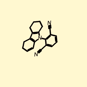 N#Cc1cccc(C#N)c1-n1c2c(c3c1CCCC3)CCC=C2